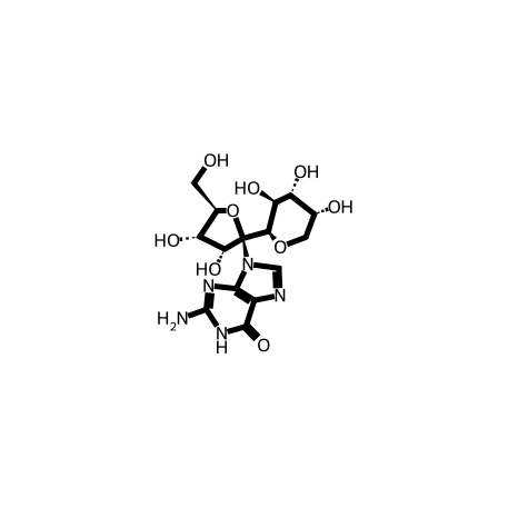 Nc1nc2c(ncn2[C@]2([C@@H]3OC[C@@H](O)[C@@H](O)[C@@H]3O)O[C@H](CO)[C@@H](O)[C@H]2O)c(=O)[nH]1